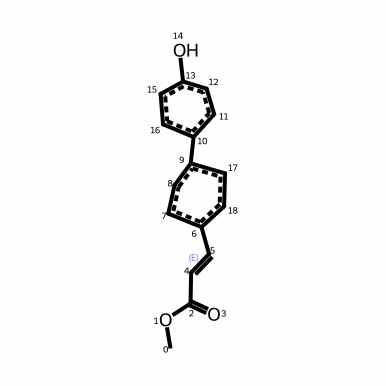 COC(=O)/C=C/c1ccc(-c2ccc(O)cc2)cc1